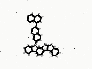 c1ccc2c(-c3ccc4cc(-n5c6ccccc6c6ccc7c(sc8sc9ccccc9c87)c65)ccc4c3)cccc2c1